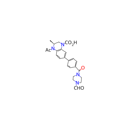 CC(=O)N1c2ccc(-c3ccc(C(=O)N4CCN(C=O)CC4)cc3)cc2N(C(=O)O)C[C@@H]1C